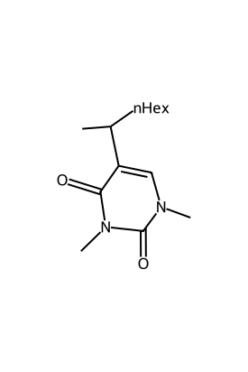 CCCCCCC(C)c1cn(C)c(=O)n(C)c1=O